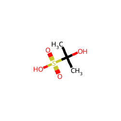 CC(C)(O)S(=O)(=O)O